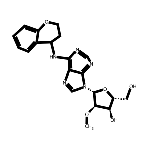 CO[C@@H]1[C@H](O)[C@@H](CO)O[C@H]1n1cnc2c(NC3CCOc4ccccc43)ncnc21